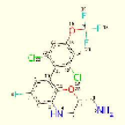 NC[C@@H]1CNc2cc(F)cc(-c3c(Cl)cc(OC(F)(F)F)cc3Cl)c2O1